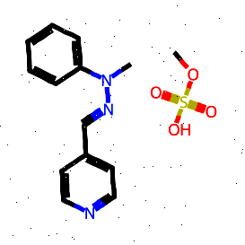 CN(N=Cc1ccncc1)c1ccccc1.COS(=O)(=O)O